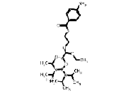 CCOC(COP(N(C(C)C)C(C)C)N(C(C)C)C(C)C)OCCSC(=O)c1ccc(N)cc1